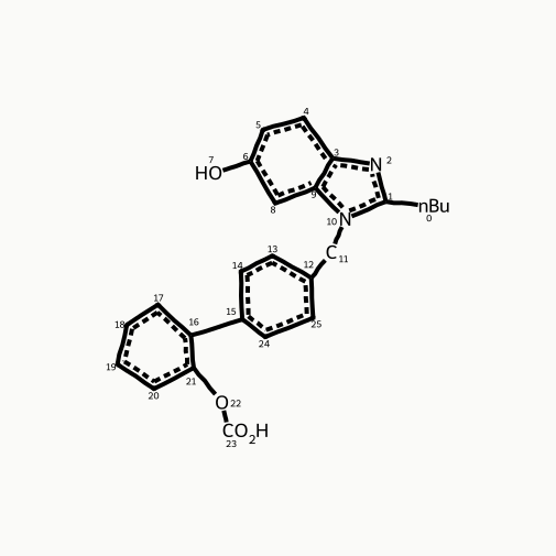 CCCCc1nc2ccc(O)cc2n1Cc1ccc(-c2ccccc2OC(=O)O)cc1